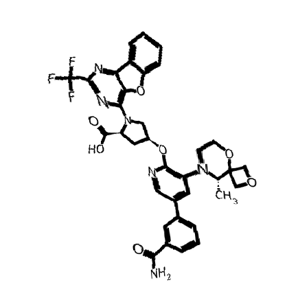 C[C@@H]1N(c2cc(-c3cccc(C(N)=O)c3)cnc2O[C@H]2C[C@@H](C(=O)O)N(c3nc(C(F)(F)F)nc4c3oc3ccccc34)C2)CCOC12COC2